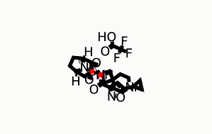 O=C(N[C@@H]1C[C@H]2CC[C@@H](C1)N2S(=O)(=O)N1CC2(CCNCC2)C1)c1cc(C2CC2)on1.O=C(O)C(F)(F)F